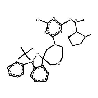 C[C@H](Oc1nc(Cl)nc(N2CCOCC(C)(O[Si](c3ccccc3)(c3ccccc3)C(C)(C)C)C2)n1)[C@@H]1CCCN1C